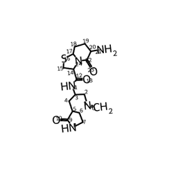 C=NCC(CC1CCNC1=O)NC(=O)C1CSC2CCC(N)C(=O)N21